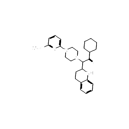 COc1cccc(N2CCN(C(C(=O)C3CCCCC3)C3CCc4ccccc4N3)CC2)n1